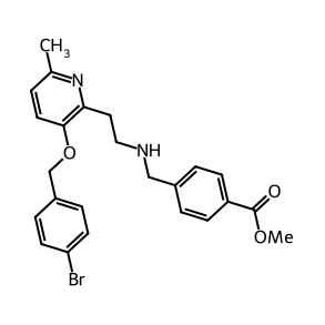 COC(=O)c1ccc(CNCCc2nc(C)ccc2OCc2ccc(Br)cc2)cc1